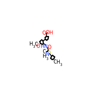 COc1ccc(-c2cccc(C(=O)O)c2)c(CNC(=O)c2sc(-c3ccc(C)cc3)nc2C)c1